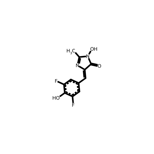 CC1=N/C(=C\c2cc(F)c(O)c(F)c2)C(=O)N1O